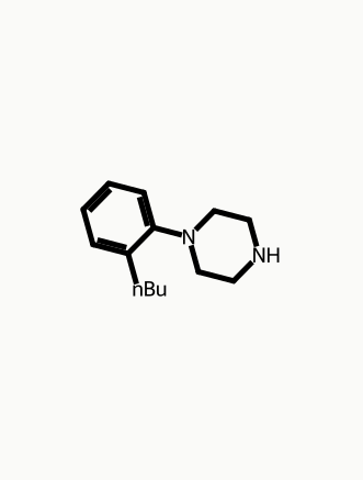 CCCCc1ccccc1N1CCNCC1